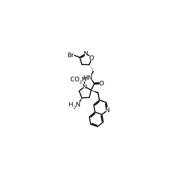 N[C@H]1CN(C(=O)O)[C@](Cc2cnc3ccccc3c2)(C(=O)NC[C@@H]2CC(Br)=NO2)C1